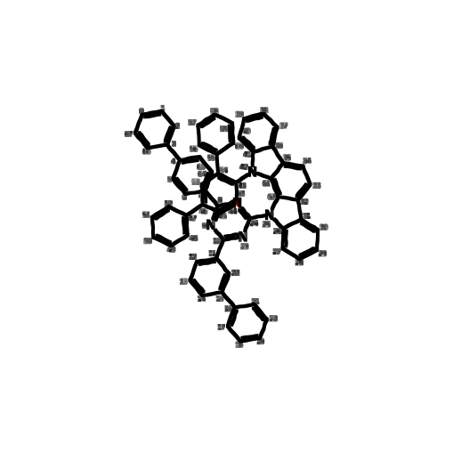 c1ccc(-c2ccc(-c3nc(-c4cccc(-c5ccccc5)c4)nc(-n4c5ccccc5c5ccc6c7ccccc7n(-c7ccc(-c8ccccc8)cc7-c7ccccc7)c6c54)n3)cc2)cc1